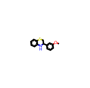 COc1cccc(C2CSc3ccccc3N2)c1